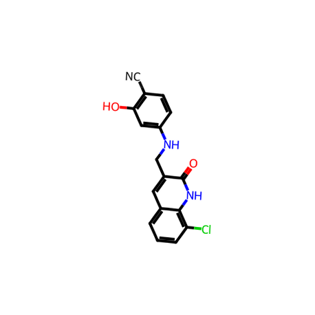 N#Cc1ccc(NCc2cc3cccc(Cl)c3[nH]c2=O)cc1O